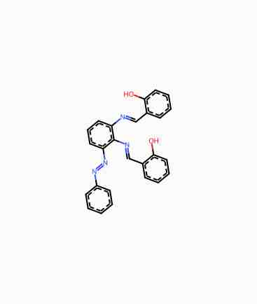 Oc1ccccc1C=Nc1cccc(N=Nc2ccccc2)c1N=Cc1ccccc1O